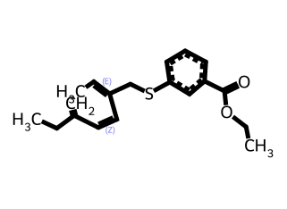 C=C(/C=C\C(=C/C)CSc1cccc(C(=O)OCC)c1)CC